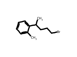 Cc1ccccc1C(C)CCCBr